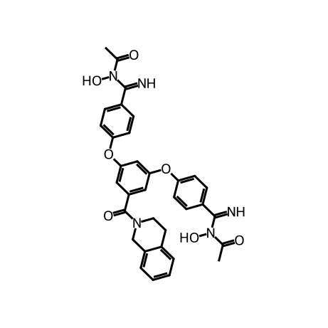 CC(=O)N(O)C(=N)c1ccc(Oc2cc(Oc3ccc(C(=N)N(O)C(C)=O)cc3)cc(C(=O)N3CCc4ccccc4C3)c2)cc1